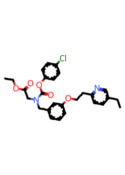 CCOC(=O)CN(Cc1cccc(OCCc2ccc(CC)cn2)c1)C(=O)Oc1ccc(Cl)cc1